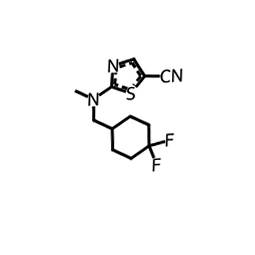 CN(CC1CCC(F)(F)CC1)c1ncc(C#N)s1